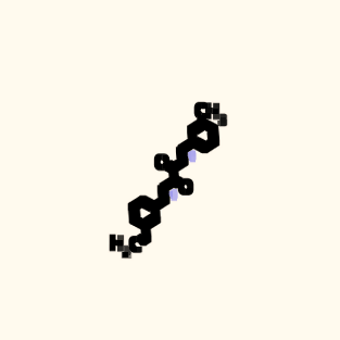 C=Cc1cccc(/C=C/C(=O)C(=O)/C=C/c2cccc(C)c2)c1